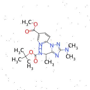 COC(=O)c1ccc(-n2nc(N(C)C)nc2C(C)NC(=O)OC(C)(C)C)nc1